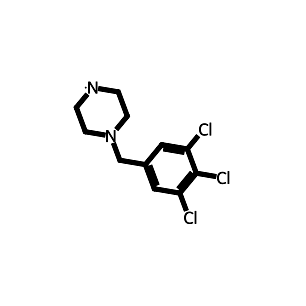 Clc1cc(CN2CC[N]CC2)cc(Cl)c1Cl